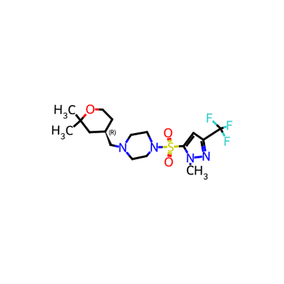 Cn1nc(C(F)(F)F)cc1S(=O)(=O)N1CCN(C[C@@H]2CCOC(C)(C)C2)CC1